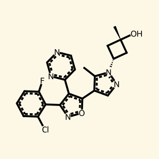 Cc1c(-c2onc(-c3c(F)cccc3Cl)c2-c2ccncn2)cnn1[C@H]1C[C@@](C)(O)C1